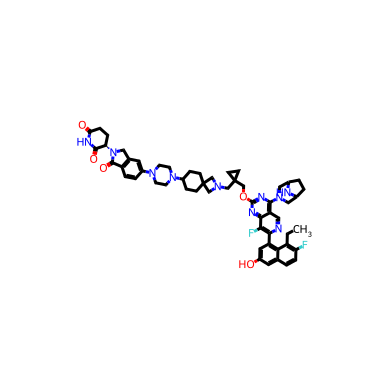 CCc1c(F)ccc2cc(O)cc(-c3ncc4c(N5CC6CCC(C5)N6)nc(OCC5(CN6CC7(CCC(N8CCN(c9ccc%10c(c9)CN([C@H]9CCC(=O)NC9=O)C%10=O)CC8)CC7)C6)CC5)nc4c3F)c12